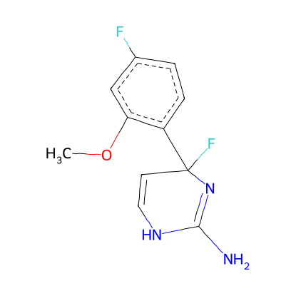 COc1cc(F)ccc1C1(F)C=CNC(N)=N1